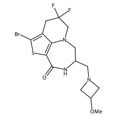 COC1CN(CC2CN3CC(F)(F)Cc4c(Br)sc(c43)C(=O)N2)C1